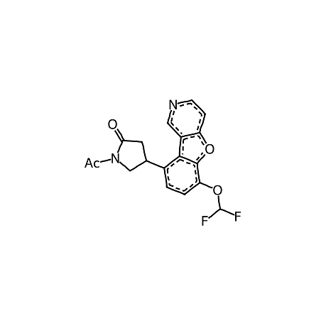 CC(=O)N1CC(c2ccc(OC(F)F)c3oc4ccncc4c23)CC1=O